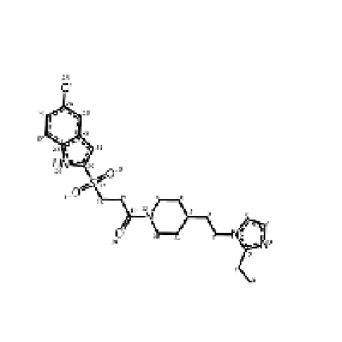 CCc1nccn1CCC1CCN(C(=O)CCS(=O)(=O)c2cc3cc(Cl)ccc3[nH]2)CC1